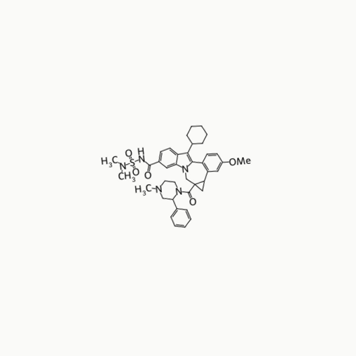 COc1ccc2c(c1)C1CC1(C(=O)N1CCN(C)CC1c1ccccc1)Cn1c-2c(C2CCCCC2)c2ccc(C(=O)NS(=O)(=O)N(C)C)cc21